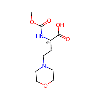 COC(=O)N[C@@H](CCN1CCOCC1)C(=O)O